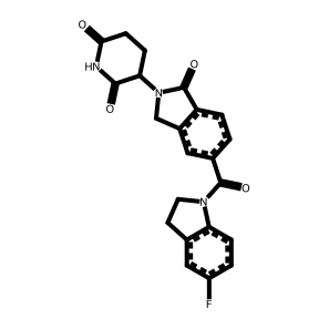 O=C1CCC(N2Cc3cc(C(=O)N4CCc5cc(F)ccc54)ccc3C2=O)C(=O)N1